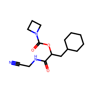 N#CCNC(=O)C(CC1CCCCC1)OC(=O)N1CCC1